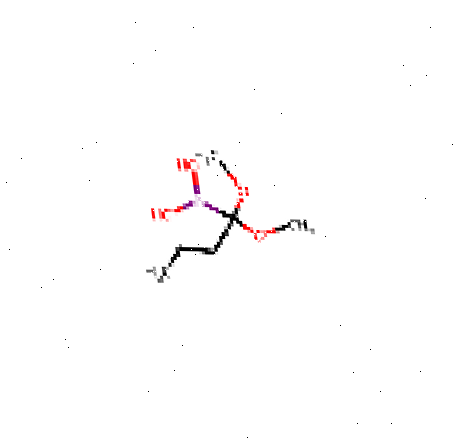 CCCC(OC)(OC)P(O)O